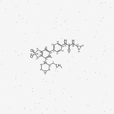 CCC1COCCN1c1nc(-c2ccc(NC(=O)NC3CC3)cc2)nc2c1CS(=O)(=O)C2